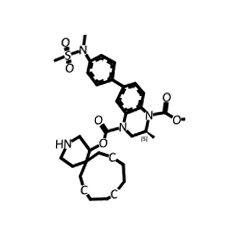 COC(=O)N1c2ccc(-c3ccc(N(C)S(C)(=O)=O)cc3)cc2N(C(=O)OC2CNCCC23CCCCCCCCC3)C[C@@H]1C